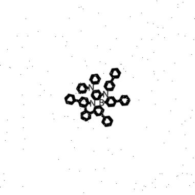 c1ccc(-c2ccc(N3c4cc(-c5ccccc5)ccc4B4c5cc(-c6ccccc6)cc6c5N(c5ccc(-c7ccccc7)cc5-c5ccccc5-6)c5cc(N(c6ccccc6)c6ccccc6)cc3c54)cc2)cc1